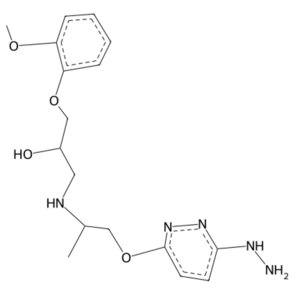 COc1ccccc1OCC(O)CNC(C)COc1ccc(NN)nn1